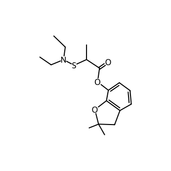 CCN(CC)SC(C)C(=O)Oc1cccc2c1OC(C)(C)C2